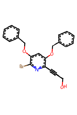 OCC#Cc1nc(Br)c(OCc2ccccc2)cc1OCc1ccccc1